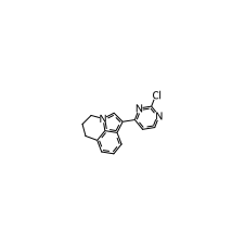 Clc1nccc(-c2cn3c4c(cccc24)CCC3)n1